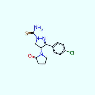 NC(=S)N1CC(N2CCCC2=O)C(c2ccc(Cl)cc2)=N1